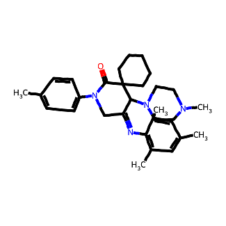 Cc1ccc(N2C/C(=N/c3c(C)cc(C)cc3C)C(N3CCN(C)CC3)C3(CCCCC3)C2=O)cc1